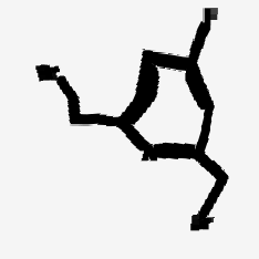 Fc1cc(CBr)nc(CBr)c1